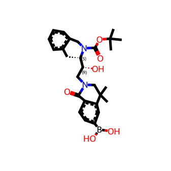 CC(C)(C)OC(=O)N1Cc2ccccc2C[C@H]1[C@H](O)CN1CC(C)(C)c2cc(B(O)O)ccc2C1=O